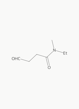 CCN(C)C(=O)CCC=O